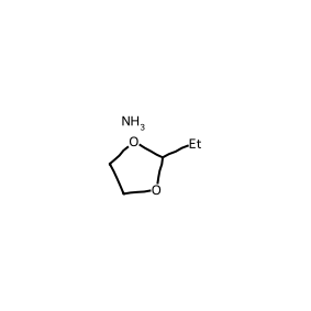 CCC1OCCO1.N